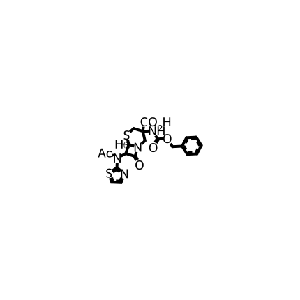 CC(=O)N(c1nccs1)C1C(=O)N2CC(NC(=O)OCc3ccccc3)(C(=O)O)CS[C@H]12